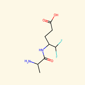 CC(N)C(=O)NC(CCC(=O)O)C(F)F